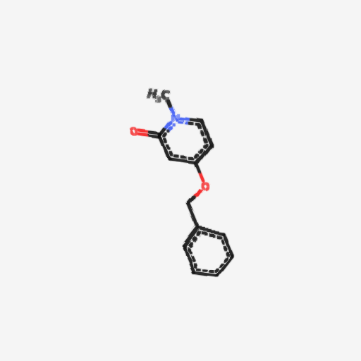 Cn1ccc(OCc2ccccc2)cc1=O